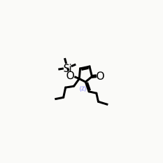 CCC/C=C1\C(=O)C=CC1(CCCC)O[Si](C)(C)C